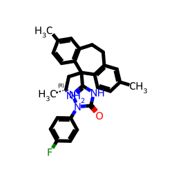 Cc1ccc2c(c1)CCc1cc(C)ccc1C2(C[C@@H](C)N)c1nn(-c2ccc(F)cc2)c(=O)[nH]1